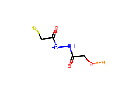 O=C(CS)NNC(=O)COP